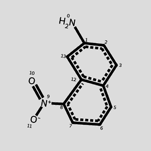 Nc1ccc2cccc([N+](=O)[O-])c2c1